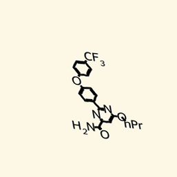 CCCOc1cc(C(N)=O)nc(-c2ccc(Oc3ccc(C(F)(F)F)cc3)cc2)n1